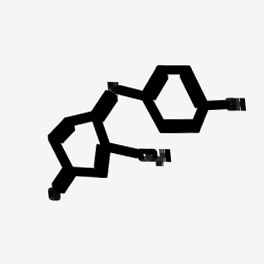 O=C1C=CC(=Nc2ccc(O)cc2)C(C(=O)O)=C1